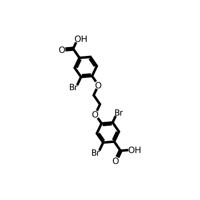 O=C(O)c1ccc(OCCOc2cc(Br)c(C(=O)O)cc2Br)c(Br)c1